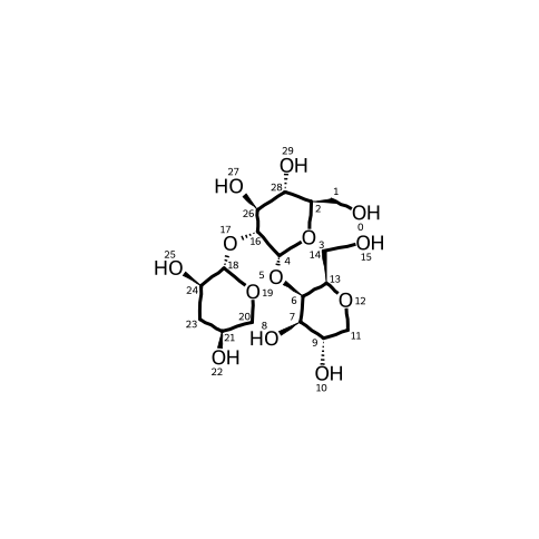 OC[C@H]1O[C@H](O[C@@H]2[C@H](O)[C@@H](O)CO[C@@H]2CO)[C@H](O[C@@H]2OC[C@@H](O)C[C@H]2O)[C@@H](O)[C@@H]1O